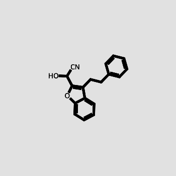 N#CC(O)c1oc2ccccc2c1CCc1ccccc1